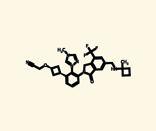 Cn1cn[n+](-c2c(N3Cc4c(cc(CNC5(C)CCC5)cc4C(F)(F)F)C3=O)cccc2[C@H]2C[C@@H](OCC#N)C2)c1